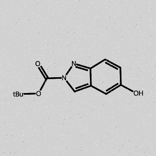 CC(C)(C)OC(=O)n1cc2cc(O)ccc2n1